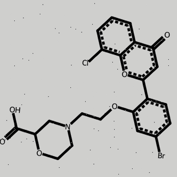 O=C(O)C1CN(CCOc2cc(Br)ccc2-c2cc(=O)c3cccc(Cl)c3o2)CCO1